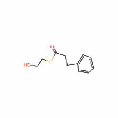 O=C(CCc1ccccc1)SCCO